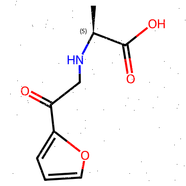 C[C@H](NCC(=O)c1ccco1)C(=O)O